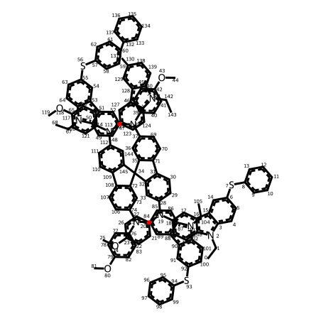 CCn1c2ccc(Sc3ccccc3)cc2c2cc(N(c3ccc(OC)cc3)c3ccc4c(c3)C3(c5cc(N(c6ccc(OC)cc6)c6ccc7c(c6)c6cc(Sc8ccccc8)ccc6n7CC)ccc5-4)c4cc(N(c5ccc(OC)cc5)c5ccc6c(c5)c5cc(Sc7ccccc7)ccc5n6CC)ccc4-c4ccc(N(c5ccc(OC)cc5)c5ccc6c(c5)c5cc(Sc7ccccc7)ccc5n6CC)cc43)ccc21